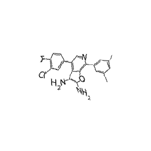 Cc1cc(C)cc(-c2ncc(-c3ccc(F)c(Cl)c3)c3c(N)c(N)oc23)c1